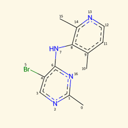 Cc1ncc(Br)c(Nc2c(C)ccnc2C)n1